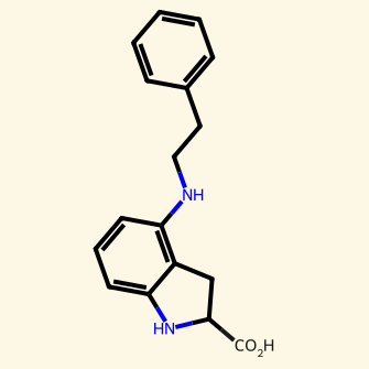 O=C(O)C1Cc2c(NCCc3ccccc3)cccc2N1